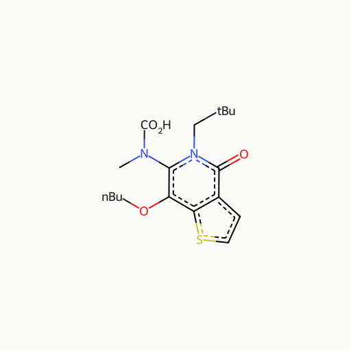 CCCCOc1c(N(C)C(=O)O)n(CC(C)(C)C)c(=O)c2ccsc12